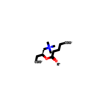 C[N+](C)(C)C[C@@H](CC(=O)[O-])OC(=O)CCCC(=O)[O-].[K+]